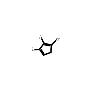 ClC1=CCC(Cl)=C1Cl